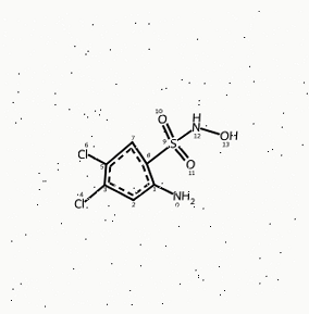 Nc1cc(Cl)c(Cl)cc1S(=O)(=O)NO